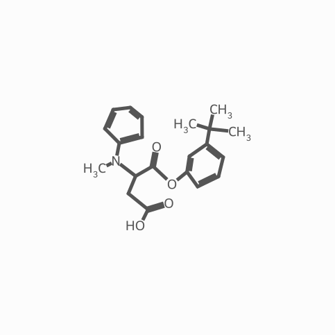 CN(c1ccccc1)C(CC(=O)O)C(=O)Oc1cccc(C(C)(C)C)c1